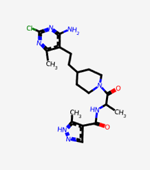 Cc1nc(Cl)nc(N)c1CCC1CCN(C(=O)C(C)NC(=O)c2cn[nH]c2C)CC1